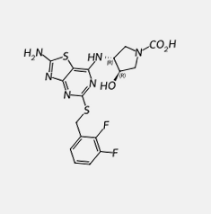 Nc1nc2nc(SCc3cccc(F)c3F)nc(N[C@@H]3CN(C(=O)O)C[C@H]3O)c2s1